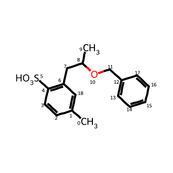 Cc1ccc(S(=O)(=O)O)c(CC(C)OCc2ccccc2)c1